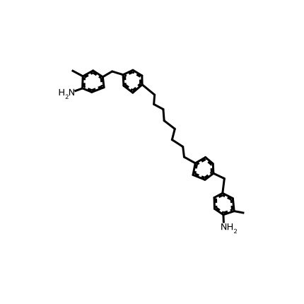 Cc1cc(Cc2ccc(CCCCCCCCc3ccc(Cc4ccc(N)c(C)c4)cc3)cc2)ccc1N